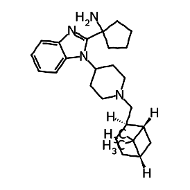 CC1(C)[C@H]2CC[C@@H](CN3CCC(n4c(C5(N)CCCC5)nc5ccccc54)CC3)[C@@H]1C2